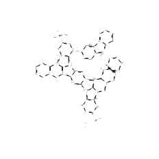 CC(C)(C)c1ccc2c(c1)c1cc3ccccc3c3c4cc5c(nc4n2c13)c1cc2ccccc2c2c3cc(C(C)(C)C)cc(-c4ccc6c(c4)c4ccccc4n6-c4ccccc4)c3n5c12